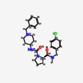 CN(Cc1ccc(Cl)cc1)C(=O)[C@H]1CCCN1C(=O)NC1CCN(Cc2ccccc2)CC1